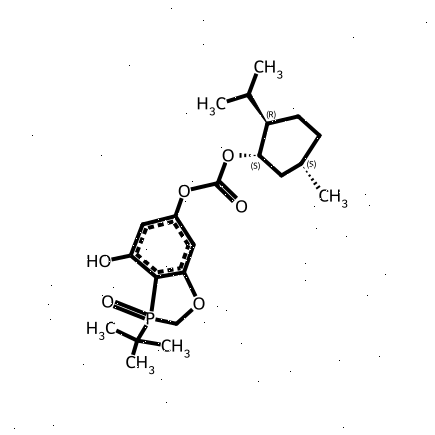 CC(C)[C@H]1CC[C@H](C)C[C@@H]1OC(=O)Oc1cc(O)c2c(c1)OCP2(=O)C(C)(C)C